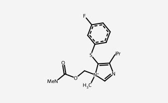 CNC(=O)OC[N+]1(C)C=NC(C(C)C)=C1Sc1cccc(F)c1